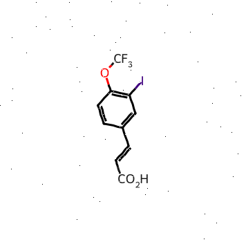 O=C(O)C=Cc1ccc(OC(F)(F)F)c(I)c1